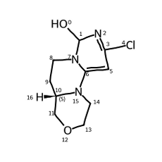 OC1N=C(Cl)C=C2N1CC[C@H]1COCCN21